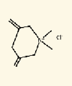 C=C1CC(=C)C[N+](C)(C)C1.[Cl-]